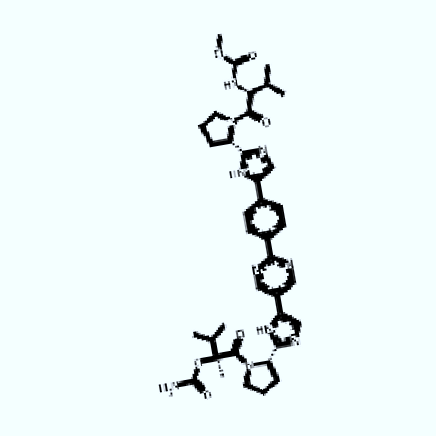 COC(=O)N[C@H](C(=O)N1CCC[C@H]1c1ncc(-c2ccc(-c3ncc(-c4cnc([C@@H]5CCCN5C(=O)[C@@](C)(OC(N)=O)C(C)C)[nH]4)cn3)cc2)[nH]1)C(C)C